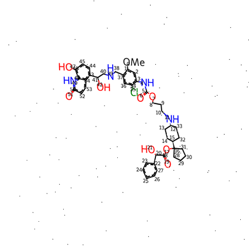 COc1cc(NC(=O)OCCCN[C@H]2CC[C@H](C3(OC(=O)[C@H](O)c4ccccc4)CCCC3)CC2)c(Cl)cc1CNCC(O)c1ccc(O)c2[nH]c(=O)ccc12